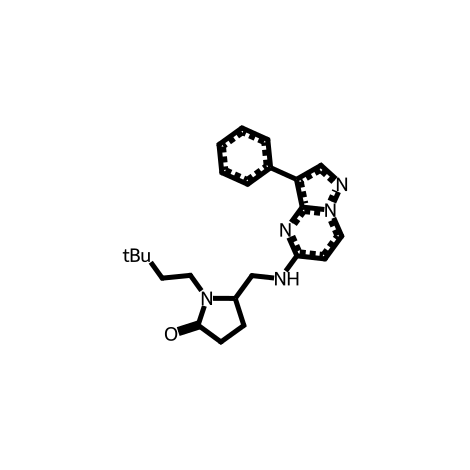 CC(C)(C)CCN1C(=O)CCC1CNc1ccn2ncc(-c3ccccc3)c2n1